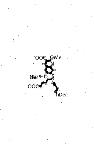 CCCCCCCCCC/C=C/C#C[C@@H](Sc1ccc2cc(C(=O)[O-])c(OC)nc2c1)[C@@H](O)CCCC(=O)[O-].[Na+].[Na+]